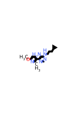 COc1ccc(-c2ncnc(NCCCC3CC3)c2N)c(C)n1